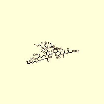 C=CCOC(=O)OC1C(COC2OC(COC)[C@@H](OP(=O)(OCC=C)OCC=C)C(OCCC(CCCCCCC)OC)[C@H]2NC(=O)CCCCCCCCC/C=C\CCCCCC)OC(O)[C@H](NC(=O)CC(=O)CCCCCCCCCCC)C1OCCCCCCCCCC